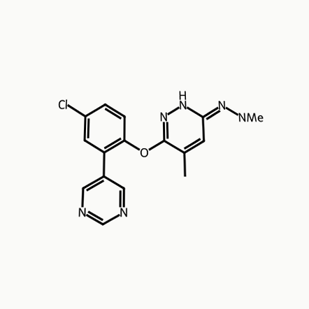 CNN=c1cc(C)c(Oc2ccc(Cl)cc2-c2cncnc2)n[nH]1